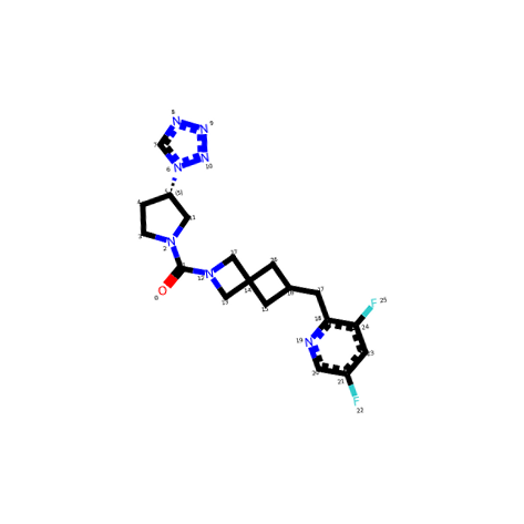 O=C(N1CC[C@H](n2cnnn2)C1)N1CC2(CC(Cc3ncc(F)cc3F)C2)C1